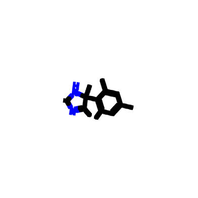 CC1=N[C]NC1(C)c1c(C)cc(C)cc1C